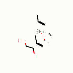 C=CC.C=CC.CCCCCC.CCOCC.OCCO